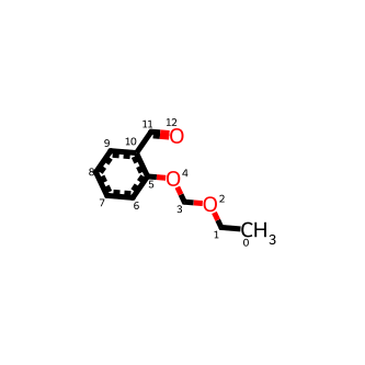 CCOCOc1ccccc1C=O